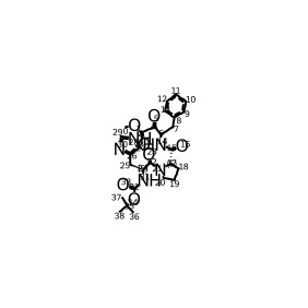 COC(=O)C(=O)C(Cc1ccccc1)NC(=O)[C@@H]1CCCN1C(=O)[C@H](Cc1c[nH]cn1)NC(=O)OC(C)(C)C